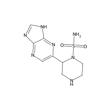 NS(=O)(=O)N1CCNCC1c1cnc2nc[nH]c2n1